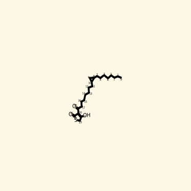 CCCCCCCCC1CC1CCCCCCCC(=O)C1=C(O)CSC1=O